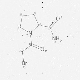 NC(=O)C1CCCN1C(=O)CBr